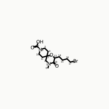 CN1CC2(CCN(C(=O)O)CC2)OC(CCCCBr)C1=O